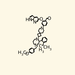 COc1ccc(CN2CCCN(C3CC4(CCN(c5ccc(C=O)c(Oc6cnc7[nH]ccc7c6)c5)CC4)C3)C(c3ccccc3C(C)C)C2)cc1